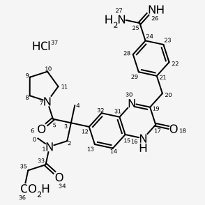 CN(CC(C)(C(=O)N1CCCC1)c1ccc2[nH]c(=O)c(Cc3ccc(C(=N)N)cc3)nc2c1)C(=O)CC(=O)O.Cl